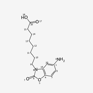 Nc1ccc2oc(=O)n(CCCCCCCC(=O)O)c2c1